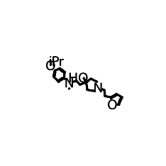 CC(C)Oc1ccc(N(C)CCC2(O)CCN(CCc3ccco3)CC2)cc1